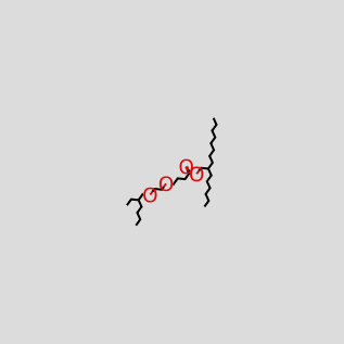 CCCCCCCCC(CCCCCC)COC(=O)CCCOCCOCC(CC)CCCC